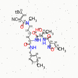 Cc1ccc(CNC(=O)C(CCCCN(C)C(=O)C(C#N)=CC(C)(C)C)NC(=O)[C@@H](NC(=O)c2cc(C)on2)[C@@H](C)O)cc1